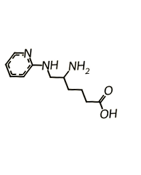 NC(CCCC(=O)O)CNc1ccccn1